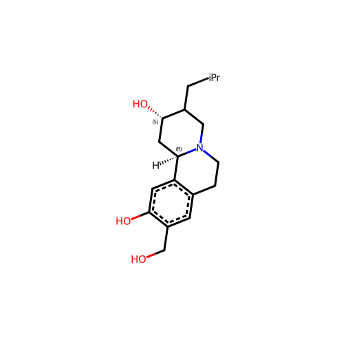 CC(C)CC1CN2CCc3cc(CO)c(O)cc3[C@H]2C[C@@H]1O